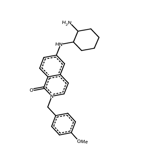 COc1ccc(Cn2ccc3cc(NC4CCCCC4N)ccc3c2=O)cc1